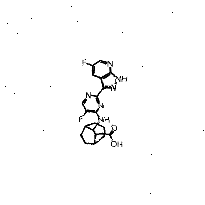 O=C(O)C1C2CCCC(CC2)C1Nc1nc(-c2n[nH]c3ncc(F)cc23)ncc1F